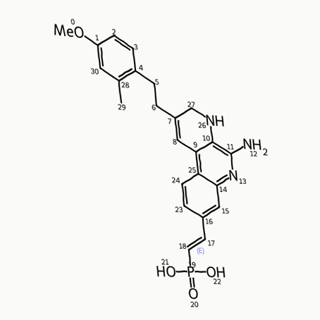 COc1ccc(CCC2=Cc3c(c(N)nc4cc(/C=C/P(=O)(O)O)ccc34)NC2)c(C)c1